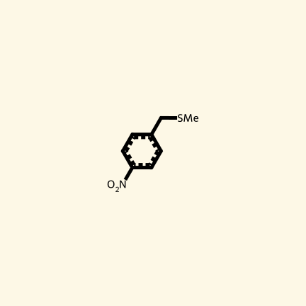 [CH2]SCc1ccc([N+](=O)[O-])cc1